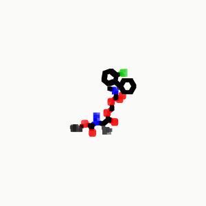 CC(C)[C@H](NC(=O)OC(C)(C)C)C(=O)OCOC(=O)N(C)[C@]1(c2ccccc2Cl)CCCCC1=O